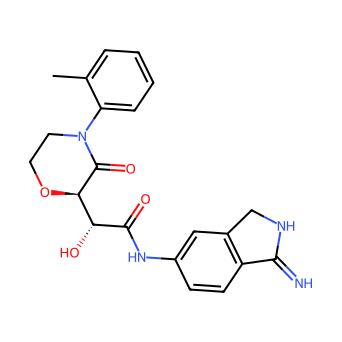 Cc1ccccc1N1CCO[C@H]([C@@H](O)C(=O)Nc2ccc3c(c2)CNC3=N)C1=O